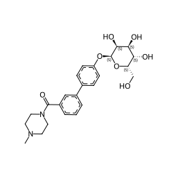 CN1CCN(C(=O)c2cccc(-c3ccc(O[C@@H]4O[C@@H](CO)[C@@H](O)[C@H](O)[C@@H]4O)cc3)c2)CC1